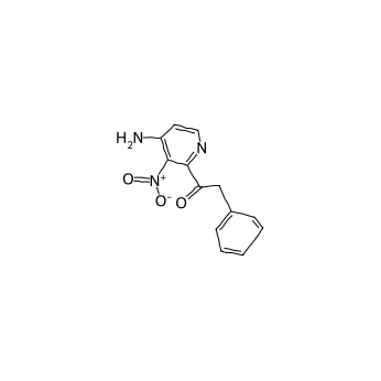 Nc1ccnc(C(=O)Cc2ccccc2)c1[N+](=O)[O-]